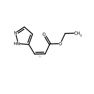 CCOC(=O)/C=C\c1ccn[nH]1